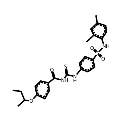 CCC(C)Oc1ccc(C(=O)NC(=S)Nc2ccc(S(=O)(=O)Nc3ccc(C)cc3C)cc2)cc1